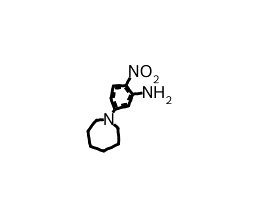 Nc1cc(N2CCCCCC2)ccc1[N+](=O)[O-]